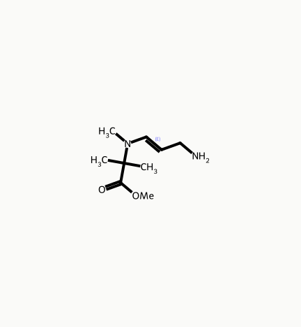 COC(=O)C(C)(C)N(C)/C=C/CN